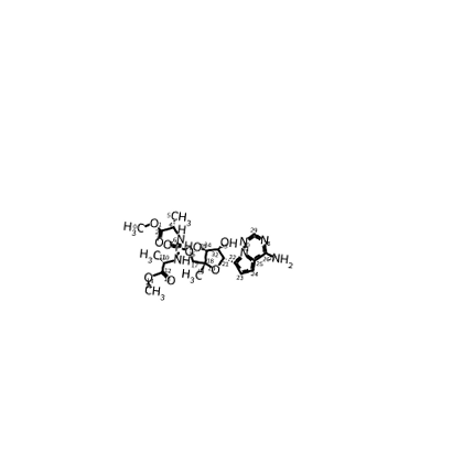 COC(=O)[C@H](C)NP(=O)(N[C@@H](C)C(=O)OC)OC[C@@]1(C)O[C@@H](c2ccc3c(N)ncnn23)[C@H](O)[C@@H]1O